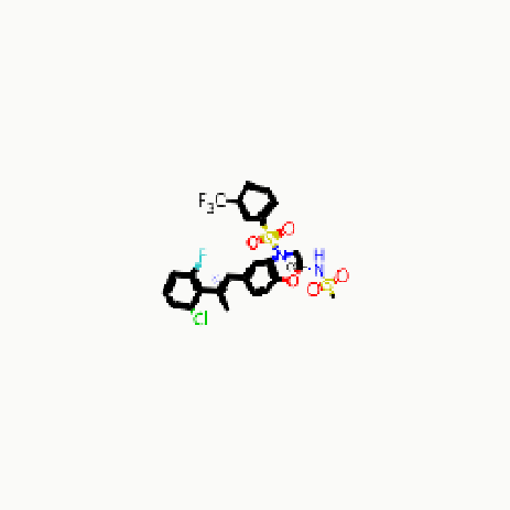 C/C(=C\c1ccc2c(c1)N(S(=O)(=O)c1cccc(C(F)(F)F)c1)C[C@H](NS(C)(=O)=O)O2)c1c(F)cccc1Cl